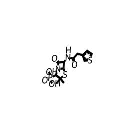 CC1(C)SC2C(NC(=O)Cc3ccsc3)C(=O)N2C1P(=O)(O)O